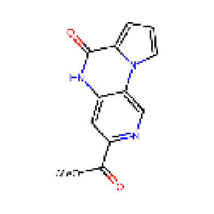 COC(=O)c1cc2[nH]c(=O)c3cccn3c2cn1